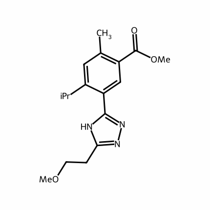 COCCc1nnc(-c2cc(C(=O)OC)c(C)cc2C(C)C)[nH]1